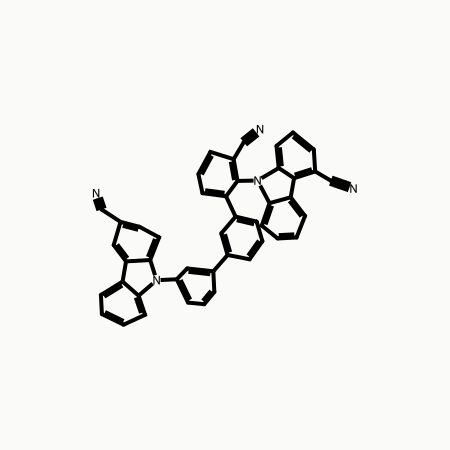 N#Cc1ccc2c(c1)c1ccccc1n2-c1cccc(-c2cccc(-c3cccc(C#N)c3-n3c4ccccc4c4c(C#N)cccc43)c2)c1